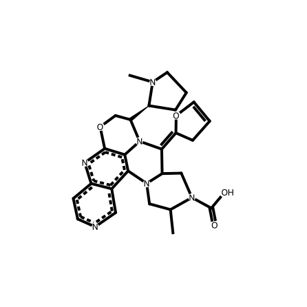 CC1CN2c3c4c(nc5ccncc35)OCC([C@@H]3CCCN3C)N4C(=C3CC=CO3)C2CN1C(=O)O